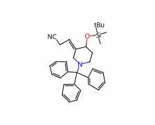 CC(C)(C)[Si](C)(C)OC1CCN(C(c2ccccc2)(c2ccccc2)c2ccccc2)CC1=CCC#N